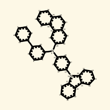 c1ccc(-c2cccc(N(c3ccc(-n4c5ccccc5c5ccccc54)cc3)c3ccc4ccc5ccccc5c4c3)c2)cc1